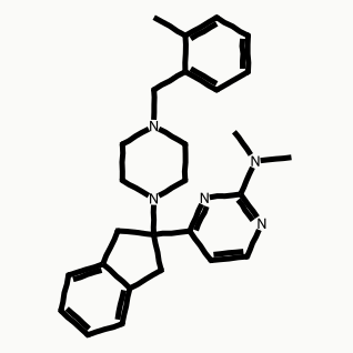 Cc1ccccc1CN1CCN(C2(c3ccnc(N(C)C)n3)Cc3ccccc3C2)CC1